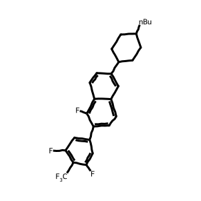 CCCCC1CCC(c2ccc3c(F)c(-c4cc(F)c(C(F)(F)F)c(F)c4)ccc3c2)CC1